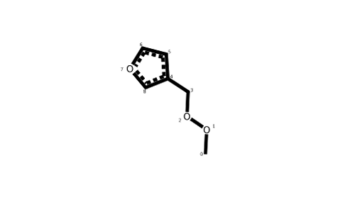 COOCc1ccoc1